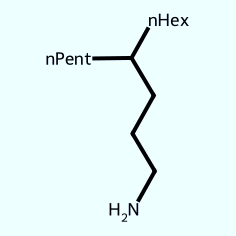 CCCCCCC(CCCN)CCCCC